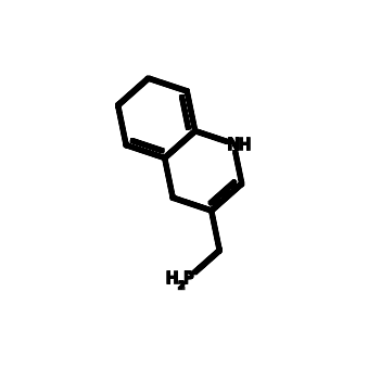 PCC1=CNC2=CCCC=C2C1